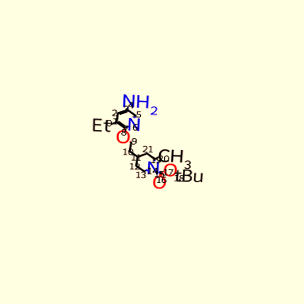 CCc1cc(N)cnc1OCCC1CCN(C(=O)OC(C)(C)C)C(C)C1